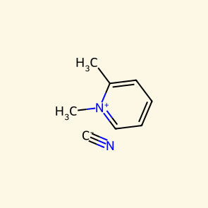 Cc1cccc[n+]1C.[C-]#N